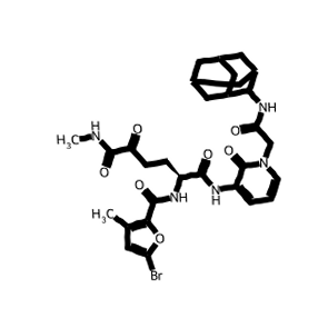 CNC(=O)C(=O)CC[C@H](NC(=O)c1oc(Br)cc1C)C(=O)Nc1cccn(CC(=O)NC2C3CC4CC(C3)CC2C4)c1=O